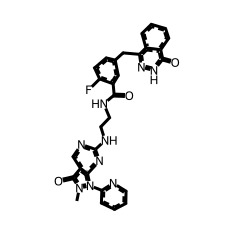 Cn1c(=O)c2cnc(NCCNC(=O)c3cc(Cc4n[nH]c(=O)c5ccccc45)ccc3F)nc2n1-c1ccccn1